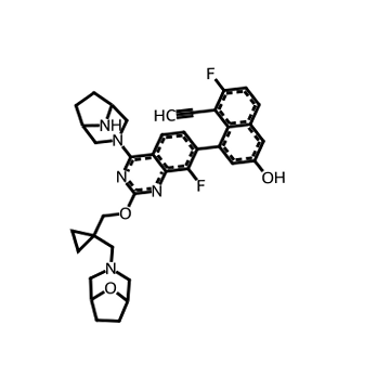 C#Cc1c(F)ccc2cc(O)cc(-c3ccc4c(N5CC6CCC(C5)N6)nc(OCC5(CN6CC7CCC(C6)O7)CC5)nc4c3F)c12